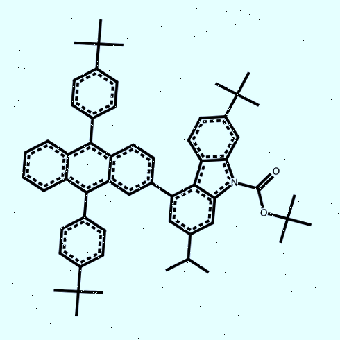 CC(C)c1cc(-c2ccc3c(-c4ccc(C(C)(C)C)cc4)c4ccccc4c(-c4ccc(C(C)(C)C)cc4)c3c2)c2c3ccc(C(C)(C)C)cc3n(C(=O)OC(C)(C)C)c2c1